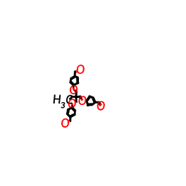 CCC(COc1ccc(C=O)cc1)(COc1ccc(C=O)cc1)COc1ccc(C=O)cc1